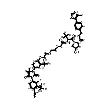 Cc1ncsc1-c1ccc(CNC(=O)[C@@H]2C[C@@H](O)CN2C(=O)[C@@H](NC(=O)COCCOCCOc2ncc(N3C(=S)N(c4ccc(C#N)c(C(F)(F)F)c4F)C(=O)C3(C)C)cc2C(F)(F)F)C(C)(C)C)cc1